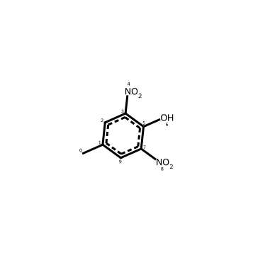 Cc1cc([N+](=O)[O-])c(O)c([N+](=O)[O-])c1